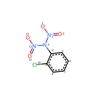 O=[N+]([O-])N(c1ccccc1Cl)[N+](=O)[O-]